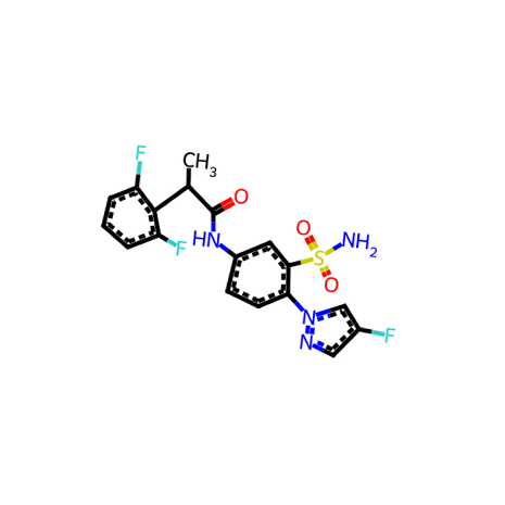 CC(C(=O)Nc1ccc(-n2cc(F)cn2)c(S(N)(=O)=O)c1)c1c(F)cccc1F